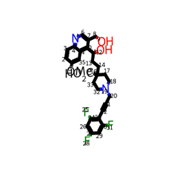 COc1ccc2ncc(CO)c(C(O)CCC3(C(=O)O)CCN(CC#Cc4c(F)cc(F)cc4F)CC3)c2c1